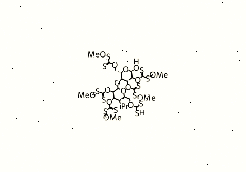 COSC(=S)OC[C@@H]1O[C@@H](O)C(OC(=S)SOC)C(OC(=S)SOC)C1OC1OC(COC(=S)S)C(C(C)C)C(OC(=S)SOC)C1OC(=S)SOC